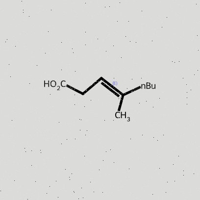 CCCC/C(C)=C/CC(=O)O